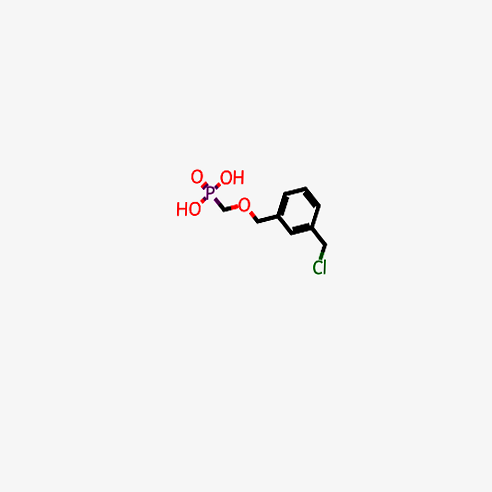 O=P(O)(O)COCc1cccc(CCl)c1